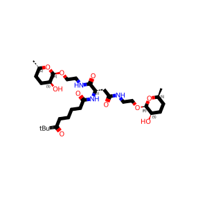 C[C@H]1CC[C@H](O)[C@H](OCCNC(=O)C[C@H](NC(=O)CCCCC(=O)C(C)(C)C)C(=O)NCCO[C@@H]2O[C@@H](C)CC[C@@H]2O)O1